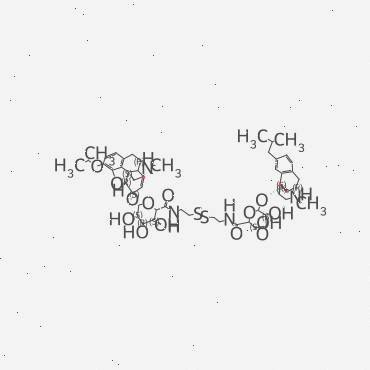 CC(C)Cc1ccc2c(c1)[C@]13CCN(C)[C@H](C2)C1C=C[C@H](OC1OC(C(=O)NCCSSCCNC(=O)C2OC(O[C@H]4C=CC5[C@H]6Cc7ccc(OC(C)C)c8c7[C@@]5(CCN6C)[C@H]4O8)[C@@H](O)[C@H](O)[C@@H]2O)[C@@]2(O)OC2[C@@H]1O)C3